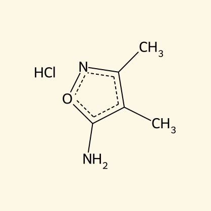 Cc1noc(N)c1C.Cl